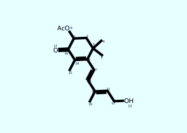 CC(=O)OC1CC(C)(C)C(C=CC(C)=CCO)=C(C)C1=O